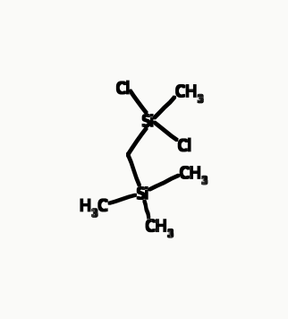 C[Si](C)(C)C[Si](C)(Cl)Cl